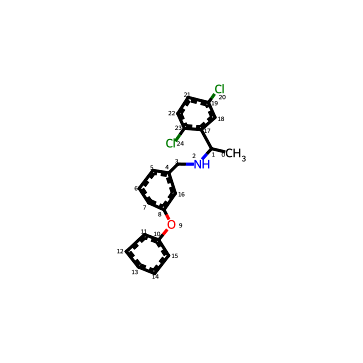 CC(NCc1cccc(Oc2ccccc2)c1)c1cc(Cl)ccc1Cl